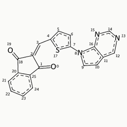 O=C1C(=Cc2ccc(-n3ccc4cncnc43)s2)C(=O)c2ccccc21